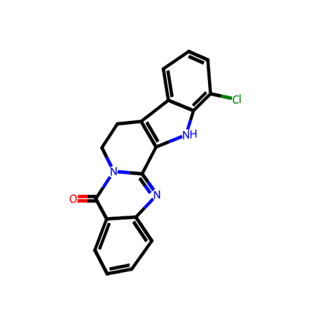 O=c1c2ccccc2nc2n1CCc1c-2[nH]c2c(Cl)cccc12